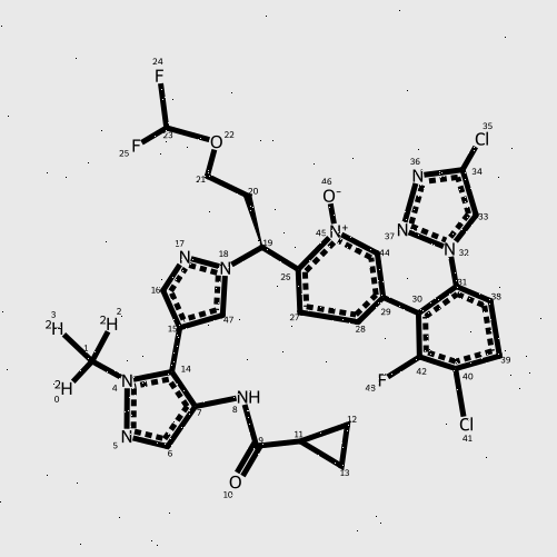 [2H]C([2H])([2H])n1ncc(NC(=O)C2CC2)c1-c1cnn([C@@H](CCOC(F)F)c2ccc(-c3c(-n4cc(Cl)nn4)ccc(Cl)c3F)c[n+]2[O-])c1